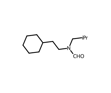 CC(C)CN(C=O)CCC1CCCCC1